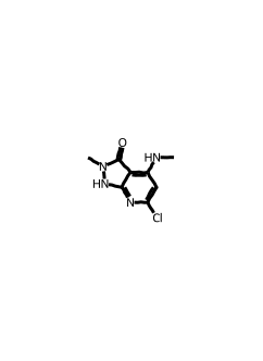 CNc1cc(Cl)nc2[nH]n(C)c(=O)c12